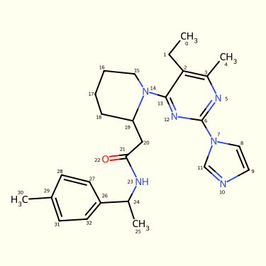 CCc1c(C)nc(-n2ccnc2)nc1N1CCCCC1CC(=O)NC(C)c1ccc(C)cc1